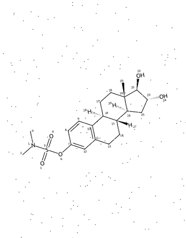 CN(C)S(=O)(=O)Oc1ccc2c(c1)CC[C@@H]1[C@@H]2CC[C@]2(C)[C@@H](O)[C@H](O)C[C@@H]12